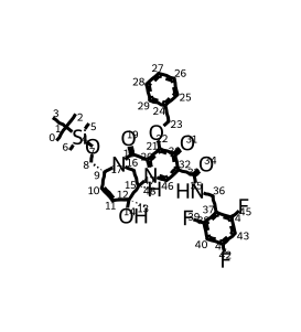 CC(C)(C)[Si](C)(C)OC[C@H]1C=C[C@](C)(O)[C@H]2CN1C(=O)c1c(OCc3ccccc3)c(=O)c(C(=O)NCc3c(F)cc(F)cc3F)cn12